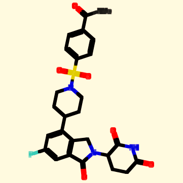 CNC(=O)c1ccc(S(=O)(=O)N2CCC(c3cc(F)cc4c3CN(C3CCC(=O)NC3=O)C4=O)CC2)cc1